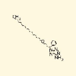 CCCCCCCCCCCCCCCCOCCC[C](c1ccccc1)n1cnc2c(N)ncnc21